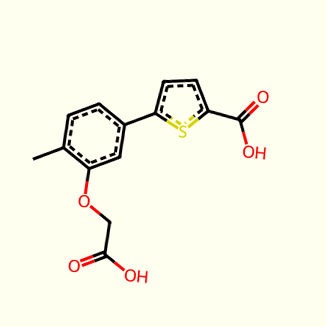 Cc1ccc(-c2ccc(C(=O)O)s2)cc1OCC(=O)O